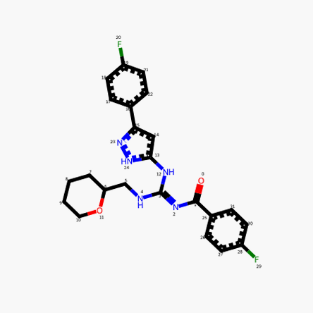 O=C(/N=C(/NCC1CCCCO1)Nc1cc(-c2ccc(F)cc2)n[nH]1)c1ccc(F)cc1